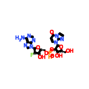 Nc1ncnc2c1ncn2[C@@H]1O[C@H](CO[PH](=O)O[C@@H]2[C@H](O)[C@@H](CO)O[C@H]2n2ccc(=O)n3ccnc23)[C@@H](O)[C@@H]1F